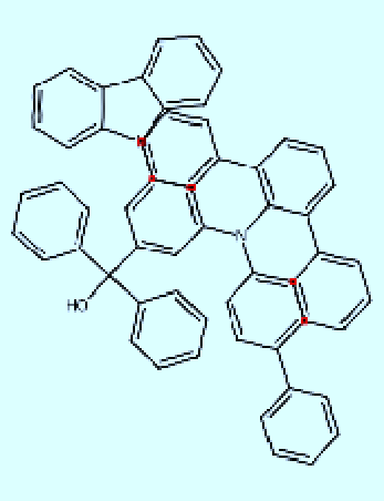 OC(c1ccccc1)(c1ccccc1)c1cc(N(c2ccc(-c3ccccc3)cc2)c2c(-c3ccccc3)cccc2-c2ccccc2)cc(-n2c3ccccc3c3ccccc32)c1